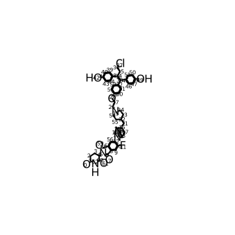 O=C1CCC(N2C(=O)c3cc(F)c(N4CC5CCC4CN5CC4CCN(CCOc5ccc(C(=C(CCCl)c6ccc(O)cc6)c6ccc(O)cc6)cc5)CC4)cc3C2=O)C(=O)N1